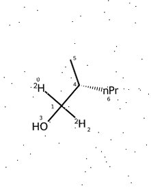 [2H]C([2H])(O)[C@H](C)CCC